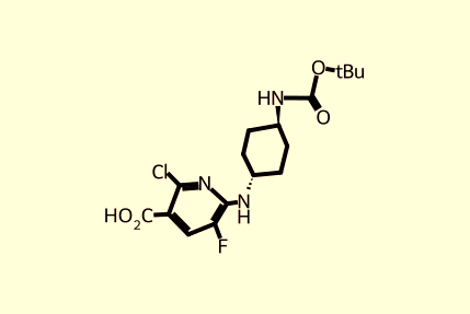 CC(C)(C)OC(=O)N[C@H]1CC[C@H](Nc2nc(Cl)c(C(=O)O)cc2F)CC1